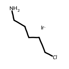 NCCCCCCl.[Ir]